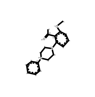 COc1cccc(N2CCN(c3ccccc3)CC2)c1C(C)=O